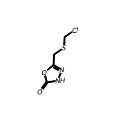 O=c1[nH]nc(CSCCl)o1